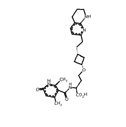 Cc1cc(=O)[nH]c(C)c1C(=O)NC(CCO[C@H]1C[C@@H](CCc2ccc3c(n2)NCCC3)C1)C(=O)O